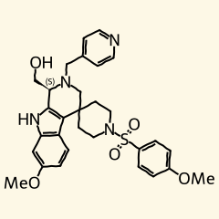 COc1ccc(S(=O)(=O)N2CCC3(CC2)CN(Cc2ccncc2)[C@H](CO)c2[nH]c4cc(OC)ccc4c23)cc1